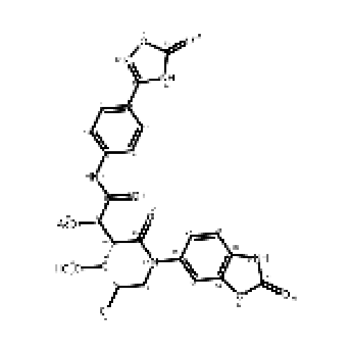 CC(=O)O[C@@H](C(=O)Nc1ccc(-c2noc(=O)[nH]2)cc1)[C@@H](CC(=O)O)C(=O)N(CCCl)c1ccc2[nH]c(=O)oc2c1